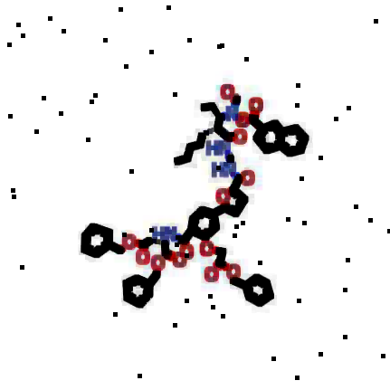 CCCCC[C@@H](C(=O)NCNC(=O)c1ccc(-c2ccc(C(=O)N[C@@H](CC(=O)OCc3ccccc3)C(=O)OCc3ccccc3)c(OCC(=O)OCc3ccccc3)c2)o1)[C@@H](CC)N(C=O)OC(=O)c1ccc2ccccc2c1